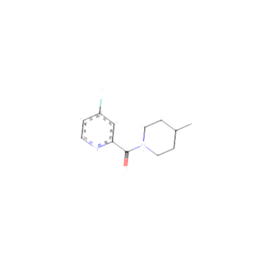 CC1CCN(C(=O)c2cc(F)ccn2)CC1